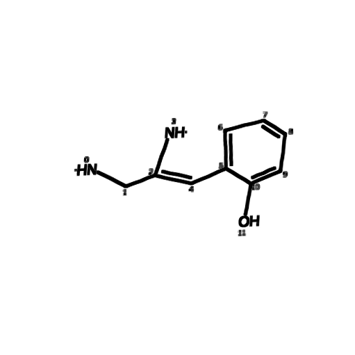 [NH]CC([NH])=Cc1ccccc1O